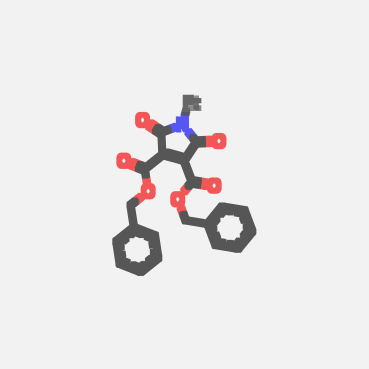 CCN1C(=O)C(C(=O)OCc2ccccc2)=C(C(=O)OCc2ccccc2)C1=O